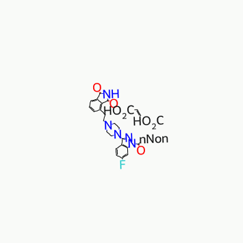 CCCCCCCCCC(=O)n1nc(N2CCN(CCc3cccc4c3C(=O)NC4=O)CC2)c2ccc(F)cc21.O=C(O)/C=C\C(=O)O